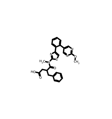 COc1ncc(-c2ccccc2-c2csc(N(C)C(=O)C(CC(=O)O)Cc3ccccc3)n2)cn1